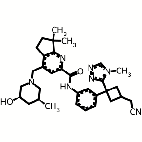 C[C@H]1C[C@@H](O)CN(Cc2cc(C(=O)Nc3cccc(C4(c5nncn5C)CC(CC#N)C4)c3)nc3c2CCC3(C)C)C1